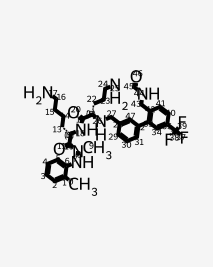 Cc1ccccc1NN(C)C(=O)[C@H](CCCCN)NC(=O)[C@H](CCCN)NCc1cccc(-c2cc(C(F)(F)F)ccc2CNC=O)c1